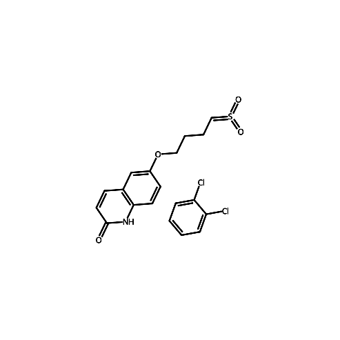 Clc1ccccc1Cl.O=c1ccc2cc(OCCCC=S(=O)=O)ccc2[nH]1